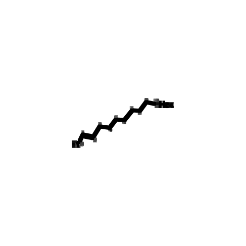 CCC=CCCCCCCCCCCCCC